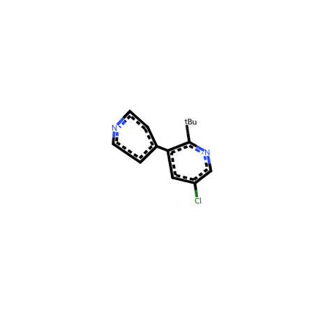 CC(C)(C)c1ncc(Cl)cc1-c1ccncc1